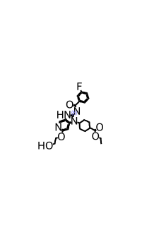 CCOC(=O)C1CCC(n2/c(=N/C(=O)c3cccc(F)c3)[nH]c3cnc(OCCO)cc32)CC1